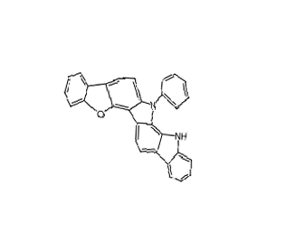 c1ccc(-n2c3ccc4c5ccccc5oc4c3c3ccc4c5ccccc5[nH]c4c32)cc1